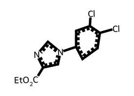 CCOC(=O)c1cn(-c2ccc(Cl)c(Cl)c2)cn1